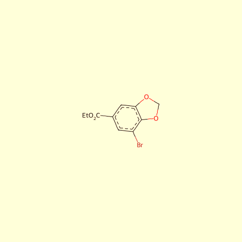 CCOC(=O)c1cc(Br)c2c(c1)OCO2